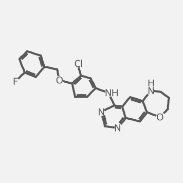 Fc1cccc(COc2ccc(Nc3ncnc4cc5c(cc34)NCCCO5)cc2Cl)c1